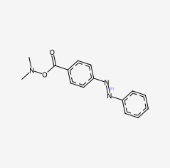 CN(C)OC(=O)c1ccc(/N=N/c2ccccc2)cc1